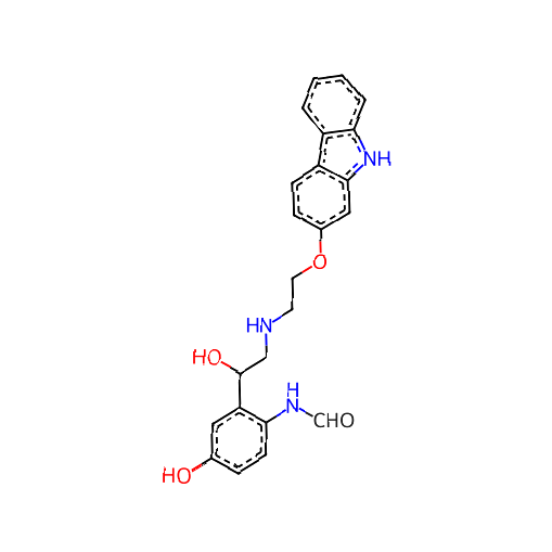 O=CNc1ccc(O)cc1C(O)CNCCOc1ccc2c(c1)[nH]c1ccccc12